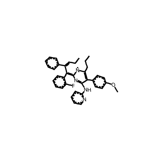 CC/C=C(\C(=C1\N=C(Nc2ccccn2)C(c2ccc(OC)cc2)=C(CCC)N1C)c1ccccc1F)c1ccccc1